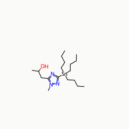 CCC[CH2][Sn]([CH2]CCC)([CH2]CCC)[c]1nc(CC(C)O)n(C)n1